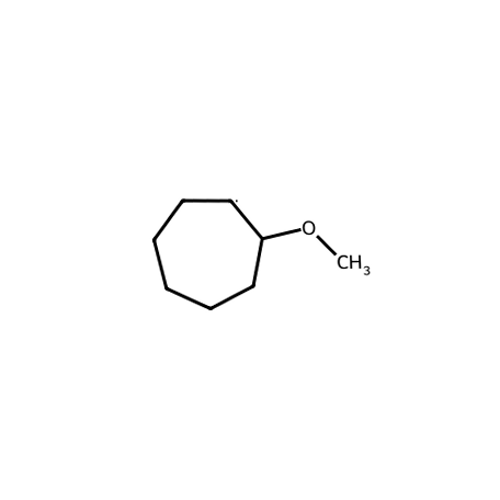 COC1[CH]CCCCC1